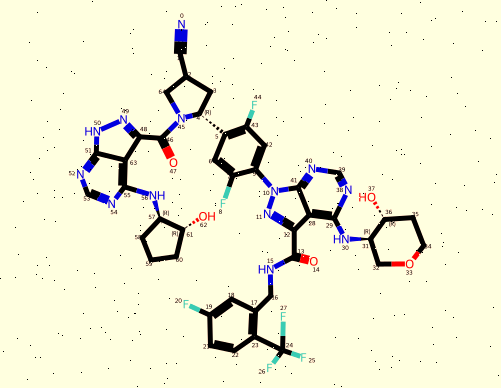 N#CC1C[C@H](c2cc(F)c(-n3nc(C(=O)NCc4cc(F)ccc4C(F)(F)F)c4c(N[C@@H]5COCC[C@H]5O)ncnc43)cc2F)N(C(=O)c2n[nH]c3ncnc(N[C@@H]4CCC[C@H]4O)c23)C1